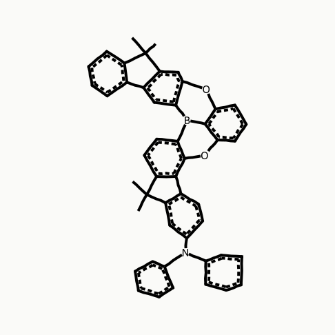 CC1(C)c2ccccc2-c2cc3c(cc21)Oc1cccc2c1B3c1ccc3c(c1O2)-c1ccc(N(c2ccccc2)c2ccccc2)cc1C3(C)C